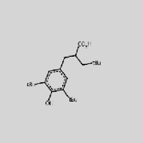 [CH2]C([CH2])([CH2])CC(Cc1cc(C(C)(C)C)c(O)c(C(C)(C)C)c1)C(=O)O